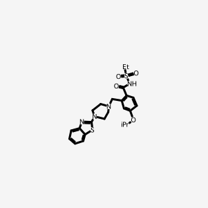 CCS(=O)(=O)NC(=O)c1ccc(OC(C)C)cc1CN1CCN(c2nc3ccccc3s2)CC1